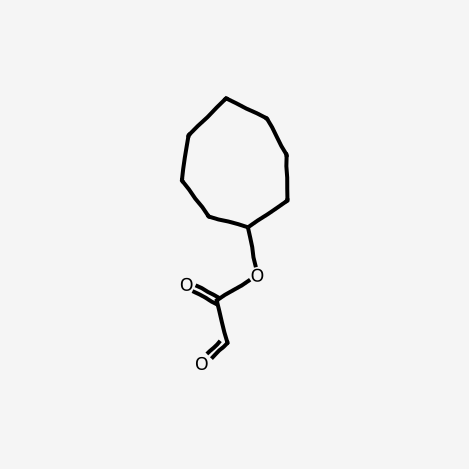 O=CC(=O)OC1CCCCCCC1